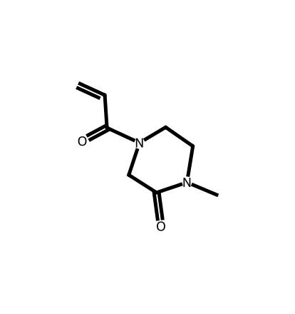 C=CC(=O)N1CCN(C)C(=O)C1